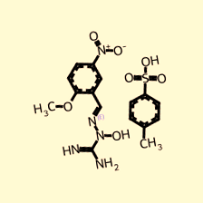 COc1ccc([N+](=O)[O-])cc1/C=N/N(O)C(=N)N.Cc1ccc(S(=O)(=O)O)cc1